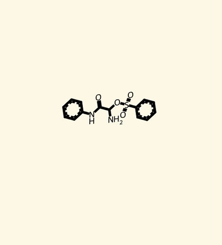 NC(OS(=O)(=O)c1ccccc1)C(=O)Nc1ccccc1